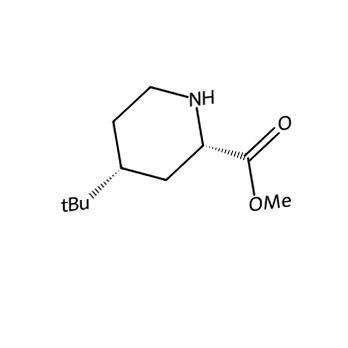 COC(=O)[C@@H]1C[C@H](C(C)(C)C)CCN1